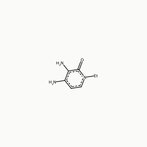 CCn1ccc(N)c(N)c1=O